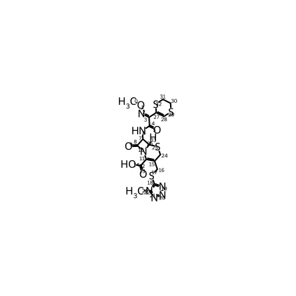 CON=C(C(=O)NC1C(=O)N2C(C(=O)O)=C(CSc3nnnn3C)CS[C@@H]12)C1=CSCCS1